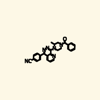 CC1CN(C(=O)c2ccccc2)CCN1c1nnc(-c2ccc(C#N)cc2)c2cccnc12